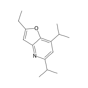 CCc1cc2nc(C(C)C)cc(C(C)C)c2o1